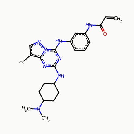 C=CC(=O)Nc1cccc(Nc2nc(NC3CCC(N(C)C)CC3)nc3c(CC)cnn23)c1